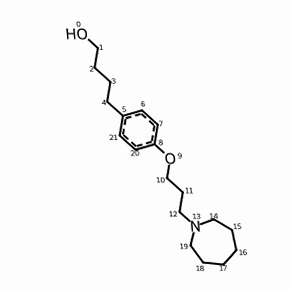 OCCCCc1ccc(OCCCN2CCCCCC2)cc1